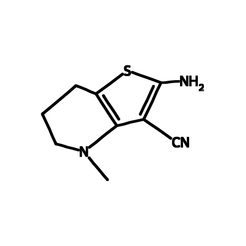 CN1CCCc2sc(N)c(C#N)c21